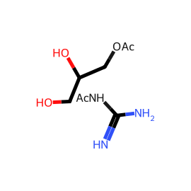 CC(=O)NC(=N)N.CC(=O)OCC(O)CO